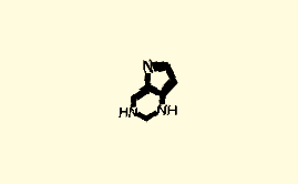 C1=NC2=CNCNC2=C1